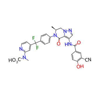 C[C@H]1Cn2ncc(NC(=O)c3ccc(O)c(C#N)c3)c2C(=O)N1c1ccc(C(F)(F)c2ccnc(N(C)C(=O)O)c2)cc1